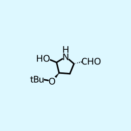 CC(C)(C)O[C@@H]1C[C@@H](C=O)NC1O